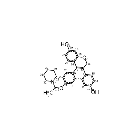 CC(Oc1ccc(C2=C(c3ccc(O)cc3)COc3cc(O)ccc32)cc1)N1CCCCC1